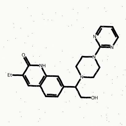 CCc1cc2ccc(C(CO)N3CCN(c4ncccn4)CC3)cc2[nH]c1=O